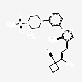 C=c1/c(=C\C=C(/C)C2(C#N)CCC2)cnn1-c1ccnc(N2CCN(S(C)(=O)=O)[C@@H](C)C2)c1